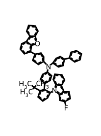 CC(C)(C)c1cccc(-n2c3ccccc3c3ccc(F)cc32)c1-c1ccc(N(c2ccc(-c3ccccc3)cc2)c2ccc(-c3cccc4c3oc3ccccc34)cc2)cc1